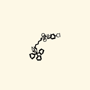 O=S(=O)(C=CCCCc1cn(C(c2ccccc2)(c2ccccc2)c2ccccc2)cn1)NCc1ccc(Cl)cc1